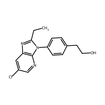 CCc1nc2cc(Cl)cnc2n1-c1ccc(CCO)cc1